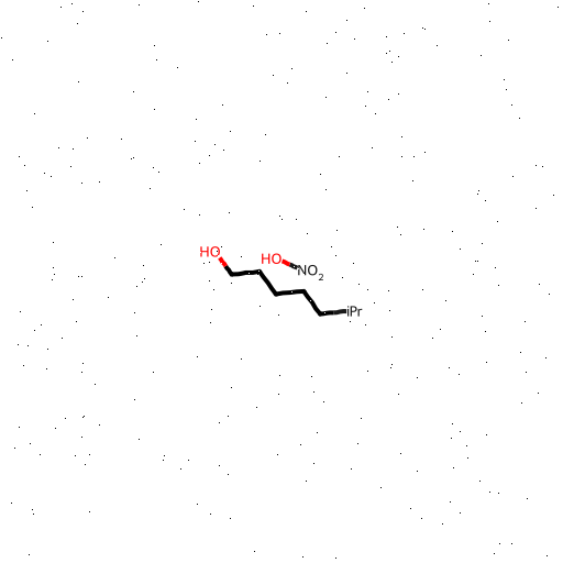 CC(C)CCCCCO.O=[N+]([O-])O